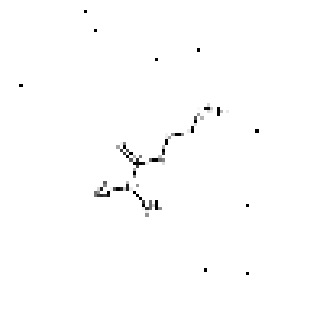 [CH2]CCCCCCCCCC(=O)N(C)CCCC